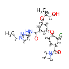 CCn1ccc(NC(=O)c2cc(Oc3ccc(C(=O)N4CCC4)cc3Cl)cc(O[C@@H](C)CO)c2)n1